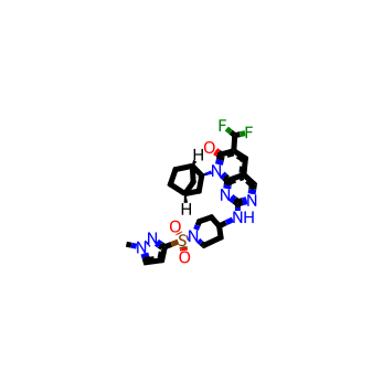 Cn1ccc(S(=O)(=O)N2CCC(Nc3ncc4cc(C(F)F)c(=O)n([C@H]5C[C@@H]6CC[C@H]5C6)c4n3)CC2)n1